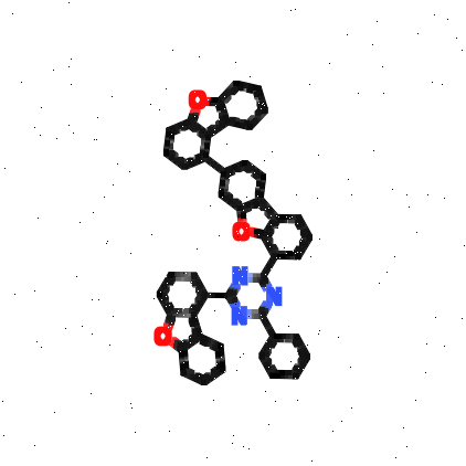 c1ccc(-c2nc(-c3cccc4c3oc3cc(-c5cccc6oc7ccccc7c56)ccc34)nc(-c3cccc4oc5ccccc5c34)n2)cc1